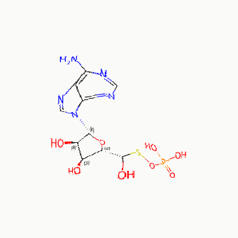 Nc1ncnc2c1ncn2[C@@H]1O[C@H](C(O)SOP(=O)(O)O)[C@@H](O)[C@H]1O